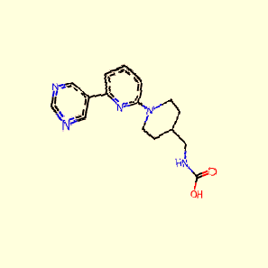 O=C(O)NCC1CCN(c2cccc(-c3cncnc3)n2)CC1